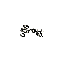 CCC(c1cc(C)n[nH]1)N(C)C(=O)c1ccc(CC2CC[C@H]([C@H](O[Si](C)(C)C(C)(C)C)c3cccnc3)N2C(=O)OC(C)(C)C)cc1